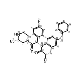 CC[C@H]1CN(C(=O)[C@H](c2ccc(F)cc2)N(C(=O)CCl)c2ccc(Oc3ccccc3)cc2C)CCN1